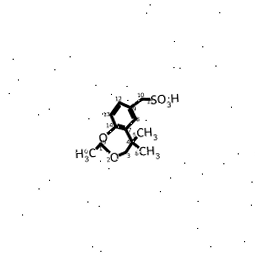 CC1OCC(C)(C)c2cc(CS(=O)(=O)O)ccc2O1